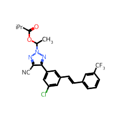 CC(C)C(=O)OC(C)n1nc(C#N)c(-c2cc(Cl)cc(C=Cc3cccc(C(F)(F)F)c3)c2)n1